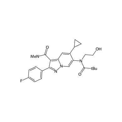 CNC(=O)c1c(-c2ccc(F)cc2)nn2cc(N(CCO)C(=O)C(C)(C)C)c(C3CC3)cc12